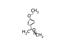 C=NOC(=C)c1ccc(OCC)cc1